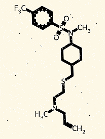 C=CCN(C)CCSCC1CCC(N(C)S(=O)(=O)c2ccc(C(F)(F)F)cc2)CC1